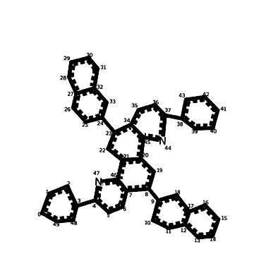 c1ccc(-c2ccc3c(-c4ccc5ccccc5c4)cc4c(cc(-c5ccc6ccccc6c5)c5ccc(-c6ccccc6)nc54)c3n2)cc1